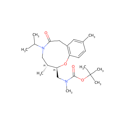 Cc1ccc2c(c1)CC(=O)N(C(C)C)C[C@@H](C)[C@H](CN(C)C(=O)OC(C)(C)C)O2